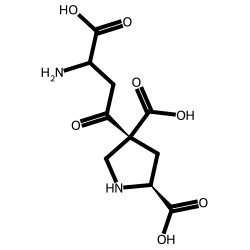 NC(CC(=O)[C@]1(C(=O)O)CN[C@H](C(=O)O)C1)C(=O)O